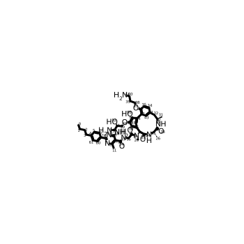 CCCCc1ccc(-c2nc(C)c(C(=O)NCC(=O)N(C)[C@@H]3C(=O)N[C@@H](C)C(=O)N[C@H](C)Cc4ccc(OCCCN)c(c4)-c4cc3cc(OC[C@H](O)CN)c4O)c(N)n2)cc1